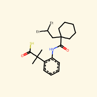 CCC(CC)CC1(C(=O)Nc2ccccc2C(C)(C)C(=O)S)CCCCC1